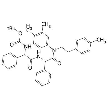 Cc1ccc(CCN(C(=O)[C@@H](NC(=O)C(NC(=O)OC(C)(C)C)c2ccccc2)c2ccccc2)c2ccc(C)c(C)c2)cc1